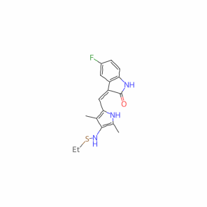 CCSNc1c(C)[nH]c(/C=C2\C(=O)Nc3ccc(F)cc32)c1C